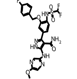 COc1cnc(Nc2[nH]nc(-c3ccc(NS(=O)(=O)C(F)F)c(OCc4ccc(F)cc4)c3)c2C(N)=O)cn1